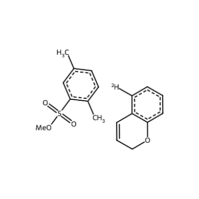 COS(=O)(=O)c1cc(C)ccc1C.[2H]c1cccc2c1C=CCO2